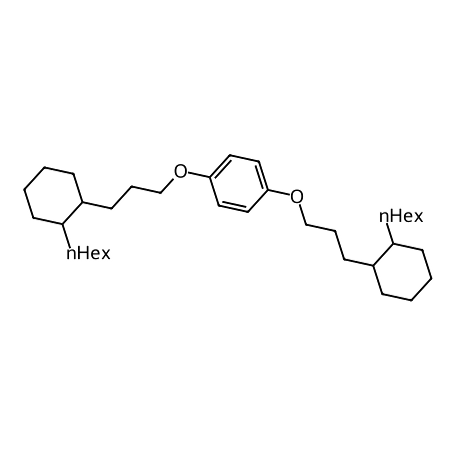 CCCCCCC1CCCCC1CCCOc1ccc(OCCCC2CCCCC2CCCCCC)cc1